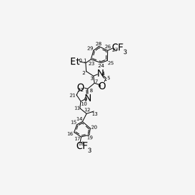 CCC(CC1N=[C]OC1C1=NC(CC(C)c2ccc(C(F)(F)F)cc2)CO1)c1ccc(C(F)(F)F)cc1